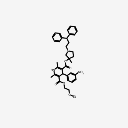 CCOCCOC(=O)C1=C(C)NC(C)=C(C(=O)OC2(C)CCN(CCC(c3ccccc3)c3ccccc3)C2)C1c1cccc([N+](=O)[O-])c1